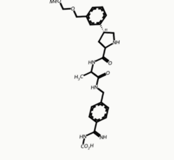 COCOCc1cccc([C@@H]2CNC(C(=O)NC(C)C(=O)NCc3ccc(C(=N)NC(=O)O)cc3)C2)c1